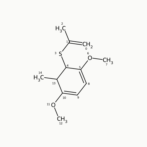 C=C(C)SC1C(OC)=CC=C(OC)C1C